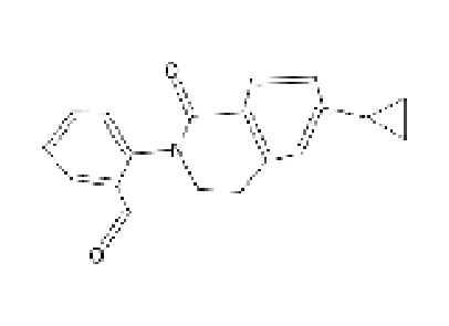 O=Cc1ccccc1N1CCc2cc(C3CC3)ccc2C1=O